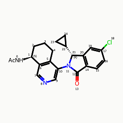 CC(=O)N[C@H]1CCCc2c1cncc2N1C(=O)c2ccc(Cl)cc2[C@H]1C1CC1